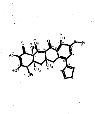 CC(=O)C1=C(O)C(C(C)C)[C@@]2(C)C[C@@]3(C)Cc4c(C5=CCC=C5)cc(CC(C)C)c(O)c4C(=O)C3=C(O)[C@@]2(O)C1=O